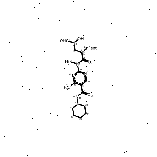 CCCCC[C@H](CN(O)C=O)C(=O)N(N)c1ncc(C(=O)NN2CCCCC2)c(C(F)(F)F)n1